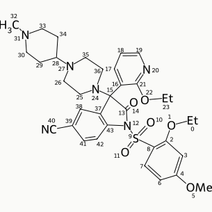 CCOc1cc(OC)ccc1S(=O)(=O)N1C(=O)C(c2cccnc2OCC)(N2CCN(C3CCN(C)CC3)CC2)c2cc(C#N)ccc21